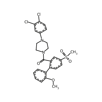 COc1ccccc1-c1ccc(S(C)(=O)=O)cc1C(=O)N1CCN(c2ccc(Cl)c(Cl)c2)CC1